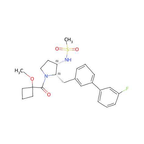 COC1(C(=O)N2CC[C@H](NS(C)(=O)=O)[C@@H]2Cc2cccc(-c3cccc(F)c3)c2)CCC1